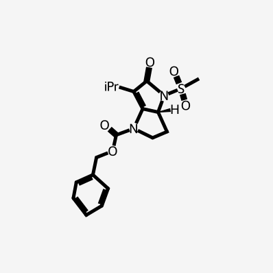 CC(C)C1=C2[C@@H](CCN2C(=O)OCc2ccccc2)N(S(C)(=O)=O)C1=O